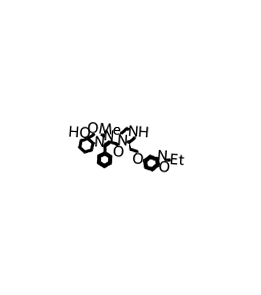 CCc1nc2cc(OCC[C@@H]3CNCCN3C(=O)c3ncn([C@@H]4CCCC[C@@]4(O)COC)c3-c3ccccc3)ccc2o1